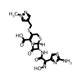 Cn1cc(CSC2=C(C(=O)O)N3C(=O)[C@@H](NC(=O)/C(=N\O)c4csc(N)n4)[C@H]3SC2)cn1